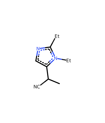 CCc1ncc(C(C)C#N)n1CC